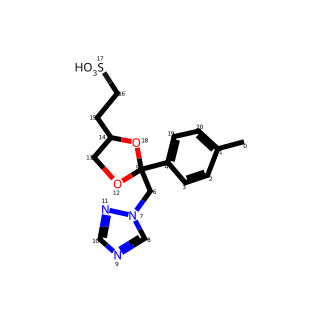 Cc1ccc(C2(Cn3cncn3)OCC(CCS(=O)(=O)O)O2)cc1